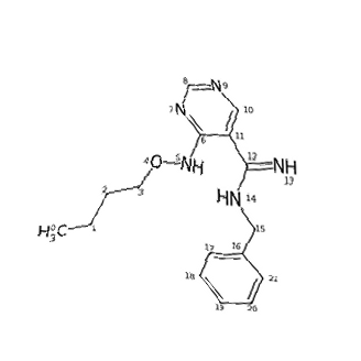 CCCCONc1ncncc1C(=N)NCc1ccccc1